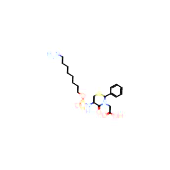 NCCCCCCCCO[PH](=O)NC1CSC(c2ccccc2)N(CC(=O)O)C1=O